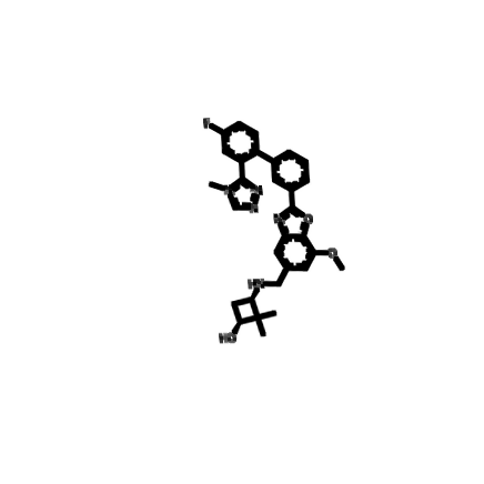 COc1cc(CN[C@@H]2C[C@H](O)C2(C)C)cc2nc(-c3cccc(-c4ccc(F)cc4-c4nncn4C)c3)oc12